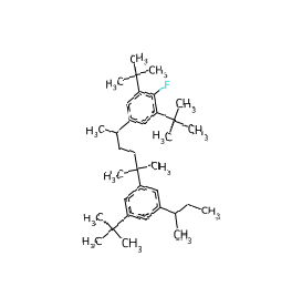 CCC(C)c1cc(C(C)(C)C)cc(C(C)(C)CCC(C)c2cc(C(C)(C)C)c(F)c(C(C)(C)C)c2)c1